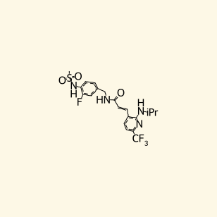 CC(C)Nc1nc(C(F)(F)F)ccc1C=CC(=O)NCc1ccc(NS(C)(=O)=O)c(F)c1